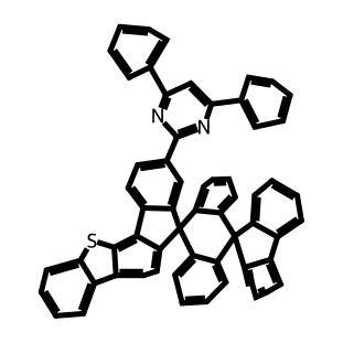 c1ccc(-c2cc(-c3ccccc3)nc(-c3ccc4c(c3)C3(c5ccccc5C5(c6ccccc6-c6ccccc65)c5ccccc53)c3ccc5c(sc6ccccc65)c3-4)n2)cc1